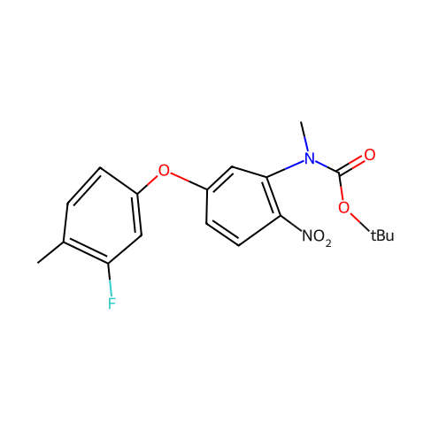 Cc1ccc(Oc2ccc([N+](=O)[O-])c(N(C)C(=O)OC(C)(C)C)c2)cc1F